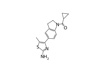 Cc1sc(N)nc1-c1ccc2c(c1)CCN2C(=O)C1CC1